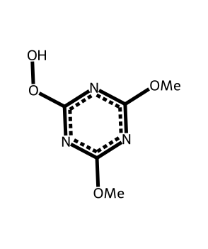 COc1nc(OC)nc(OO)n1